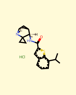 CC(C)c1cccc2cc(C(=O)N[C@@H]3C4CCN(CC4)C34CC4)sc12.Cl